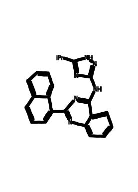 CC(C)c1nc(Nc2nc(-c3cccc4ccccc34)nc3ccccc23)n[nH]1